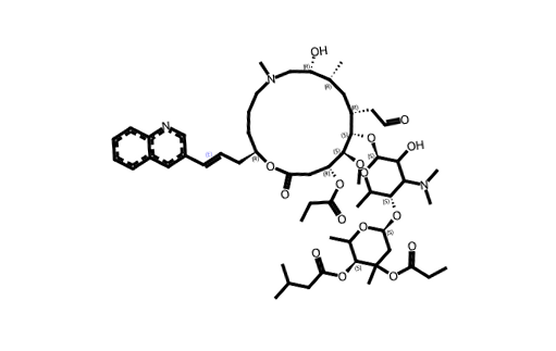 CCC(=O)O[C@@H]1CC(=O)O[C@@H](C/C=C/c2cnc3ccccc3c2)CCCN(C)C[C@H](O)[C@H](C)C[C@H](CC=O)[C@H](O[C@@H]2OC(C)[C@@H](O[C@H]3CC(C)(OC(=O)CC)[C@@H](OC(=O)CC(C)C)C(C)O3)C(N(C)C)C2O)[C@H]1OC